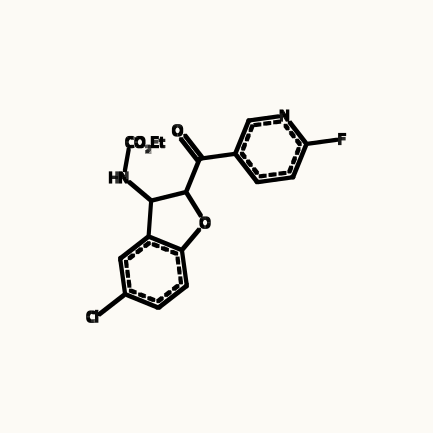 CCOC(=O)NC1c2cc(Cl)ccc2OC1C(=O)c1ccc(F)nc1